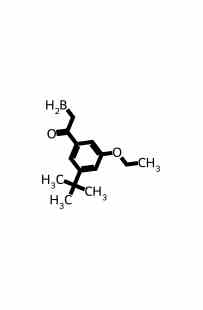 BCC(=O)c1cc(OCC)cc(C(C)(C)C)c1